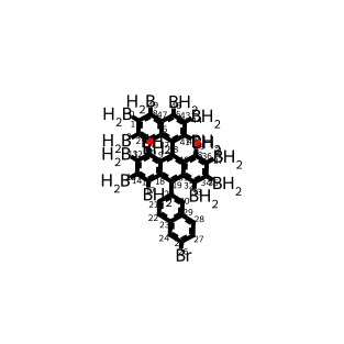 Bc1c(B)c(B)c2c(-c3c4c(B)c(B)c(B)c(B)c4c(-c4ccc5cc(Br)ccc5c4)c4c(B)c(B)c(B)c(B)c34)c(B)c(B)c(B)c2c1B